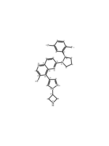 Fc1ccc(F)c([C@H]2CCCN2c2ccc3ncc(F)c(-c4cnn(C5CNC5)c4)c3n2)c1